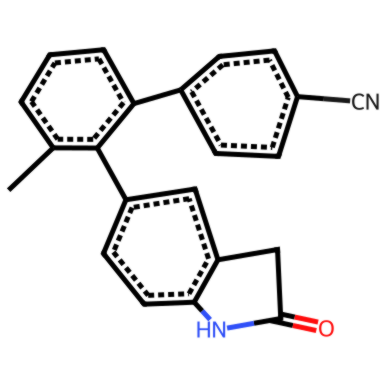 Cc1cccc(-c2ccc(C#N)cc2)c1-c1ccc2c(c1)CC(=O)N2